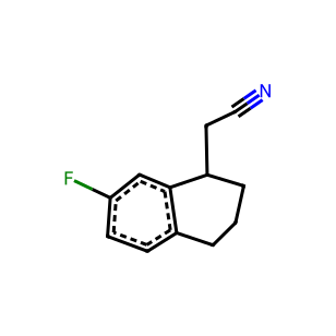 N#CCC1CCCc2ccc(F)cc21